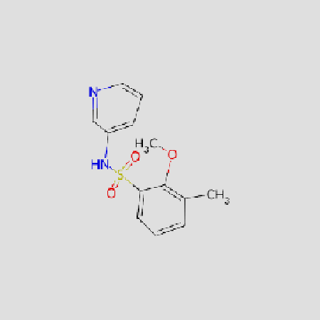 COc1c(C)cccc1S(=O)(=O)Nc1cccnc1